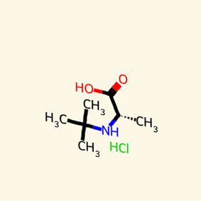 C[C@H](NC(C)(C)C)C(=O)O.Cl